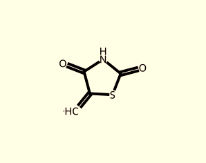 [CH]=C1SC(=O)NC1=O